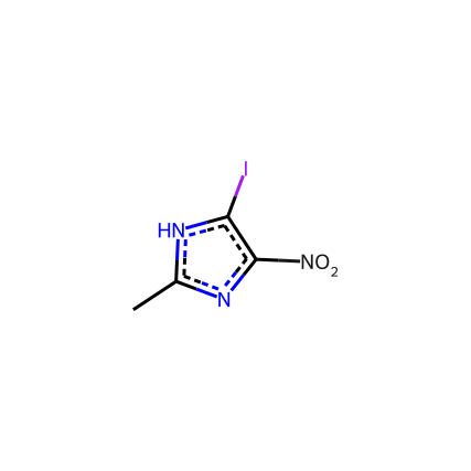 Cc1nc([N+](=O)[O-])c(I)[nH]1